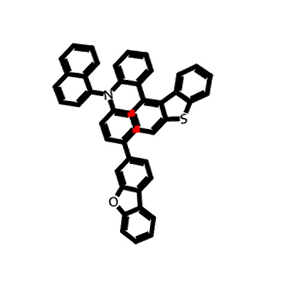 c1ccc(N(c2ccc(-c3ccc4c(c3)oc3ccccc34)cc2)c2cccc3ccccc23)c(-c2cccc3sc4ccccc4c23)c1